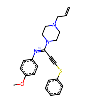 C=CCN1CCN(/C(C#CSc2ccccc2)=N/c2ccc(OC)cc2)CC1